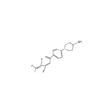 C=C(/C=C(F)\C(F)=C(/C)F)c1ccc(C2CCC(S)CC2)cc1